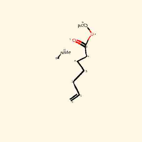 C=CCCCCC(=O)OOC(C)=O.CNC